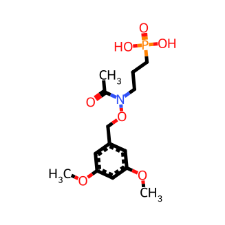 COc1cc(CON(CCCP(=O)(O)O)C(C)=O)cc(OC)c1